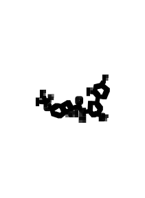 O=C(Nc1cc(Br)cc(-c2ccc(F)cc2F)c1)c1cc2cc(OC(F)(F)F)ccc2[nH]1